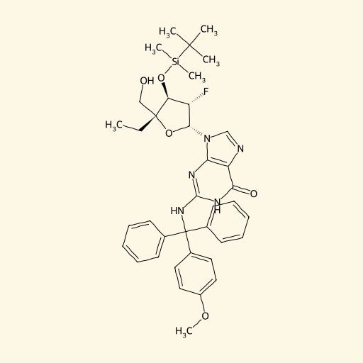 CC[C@]1(CO)O[C@@H](n2cnc3c(=O)[nH]c(NC(c4ccccc4)(c4ccccc4)c4ccc(OC)cc4)nc32)[C@@H](F)[C@@H]1O[Si](C)(C)C(C)(C)C